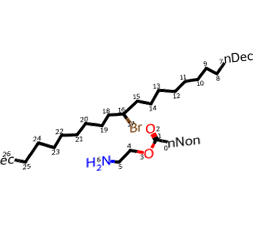 CCCCCCCCCC(=O)OCCN.CCCCCCCCCCCCCCCCCCC(Br)CCCCCCCCCCCCCCCCCC